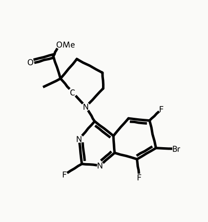 COC(=O)C1(C)CCCN(c2nc(F)nc3c(F)c(Br)c(F)cc23)C1